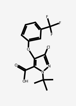 CC(C)(C)n1nc(Cl)c(Oc2cccc(C(F)(F)F)c2)c1C(=O)O